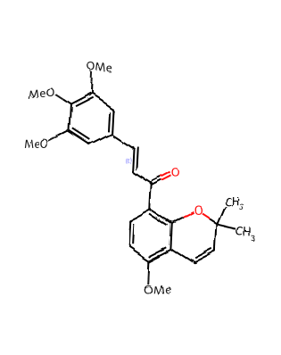 COc1ccc(C(=O)/C=C/c2cc(OC)c(OC)c(OC)c2)c2c1C=CC(C)(C)O2